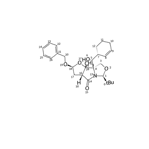 CC(C)(C)[C@@H]1OC[C@]2([C@H](O)[C@H]3C=CCCC3)N1C(=O)[C@@H]1C[C@@H](OCc3ccccc3)O[C@@]12C